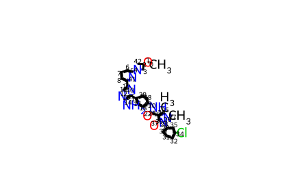 COC1CN(c2cccc(-c3cnc(N)c(-c4ccc(NC(=O)c5c(C)n(C)n(-c6cccc(Cl)c6)c5=O)cc4)n3)n2)C1